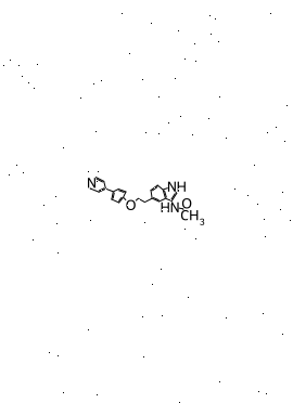 CC(=O)Nc1c[nH]c2ccc(CCOc3ccc(-c4ccncc4)cc3)cc12